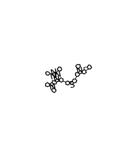 c1ccc(-c2nc(-c3ccccc3)nc(-n3c4ccc(-c5ccc6sc7ccc(-c8ccc9c(c8)c8ccc%10c(c8n9-c8ccccc8)Cc8ccccc8-%10)cc7c6c5)cc4c4cc5c(cc43)c3ccccc3n5-c3ccccc3)n2)cc1